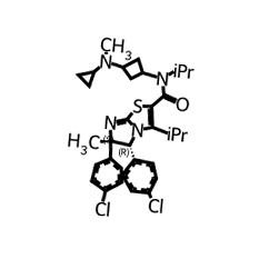 CC(C)C1=C(C(=O)N(C(C)C)C2CC(N(C)C3CC3)C2)SC2=N[C@@](C)(c3ccc(Cl)cc3)[C@@H](c3ccc(Cl)cc3)N21